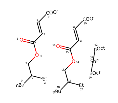 CCCCC(CC)COC(=O)C=CC(=O)[O-].CCCCC(CC)COC(=O)C=CC(=O)[O-].CCCCCCC[CH2][Sn+2][CH2]CCCCCCC